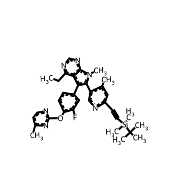 CCc1ncnc2c1c(-c1ccc(Oc3nccc(C)n3)c(F)c1)c(-c1cnc(C#C[Si](C)(C)C(C)(C)C)cc1C)n2C